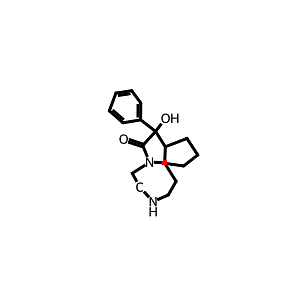 O=C(N1CCCNCC1)C(O)(c1ccccc1)C1CCCC1